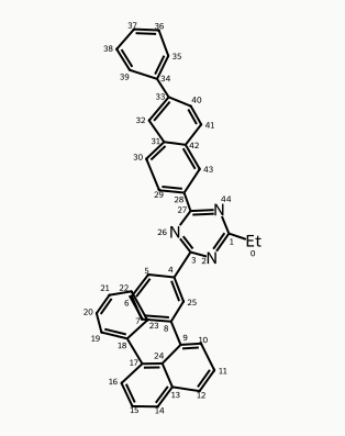 CCc1nc(-c2cccc(-c3cccc4cccc(-c5ccccc5)c34)c2)nc(-c2ccc3cc(-c4ccccc4)ccc3c2)n1